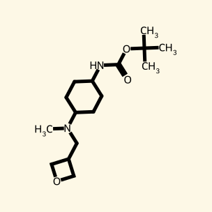 CN(CC1COC1)C1CCC(NC(=O)OC(C)(C)C)CC1